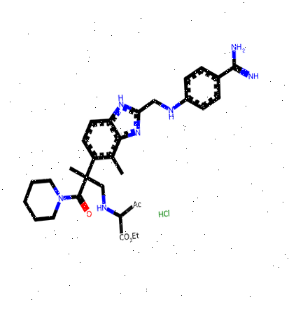 CCOC(=O)C(NCC(C)(C(=O)N1CCCCC1)c1ccc2[nH]c(CNc3ccc(C(=N)N)cc3)nc2c1C)C(C)=O.Cl